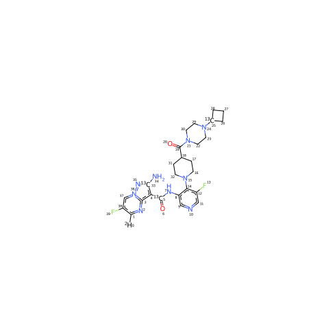 [2H]c1nc2c([13C](=O)Nc3cncc(F)c3N3CCC(C(=O)N4CCN([13CH]5CCC5)CC4)CC3)[13c](N)nn2cc1F